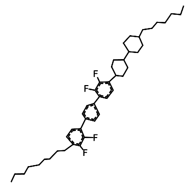 CCCCCCCCCc1ccc(-c2ccc(-c3ccc(C4CCC(C5CCC(CCCCCCC)CC5)CC4)c(F)c3F)cc2)c(F)c1F